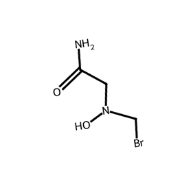 NC(=O)CN(O)CBr